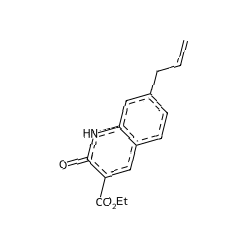 C=CCc1ccc2cc(C(=O)OCC)c(=O)[nH]c2c1